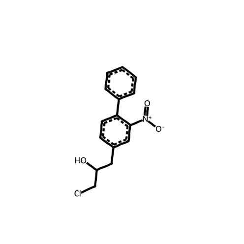 O=[N+]([O-])c1cc(CC(O)CCl)ccc1-c1ccccc1